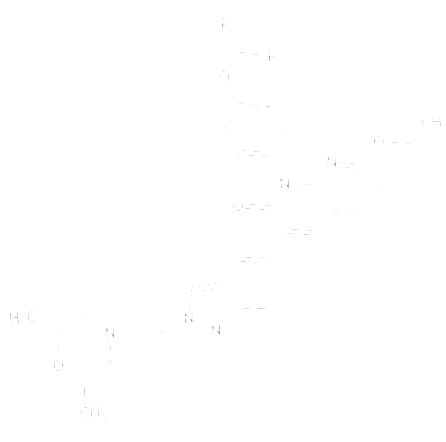 CCOc1ccc2cc(-c3ccc4nn(CCN5CC(C)OC(C)C5)cc4c3)c(=O)n(-c3ccc(OC(F)F)cc3)c2n1